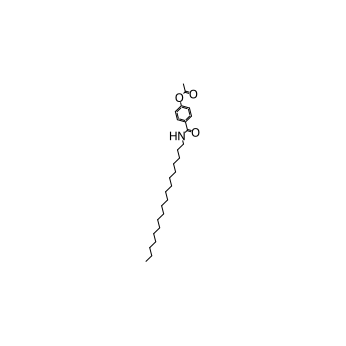 CCCCCCCCCCCCCCCCCCNC(=O)c1ccc(OC(C)=O)cc1